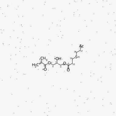 C=C(C)C(=O)OCC(O)COC(=O)CCSCCC(C)=O